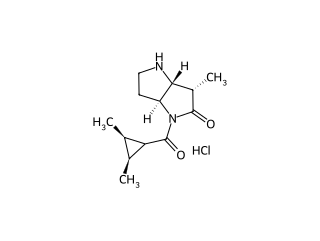 C[C@@H]1C(=O)N(C(=O)C2[C@@H](C)[C@H]2C)[C@H]2CCN[C@H]12.Cl